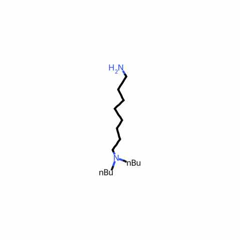 CCCCN(CCCC)CCCCCCCCN